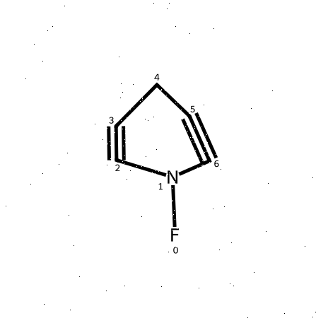 FN1C#CCC#C1